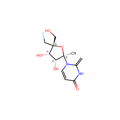 C=C1NC(=O)C=CN1[C@]1(C#N)O[C@@](CO)(CF)[C@@H](O)[C@H]1O